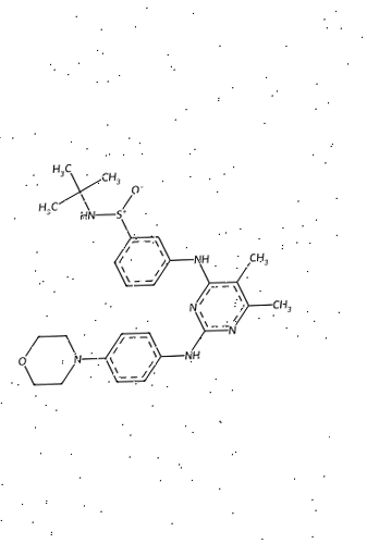 Cc1nc(Nc2ccc(N3CCOCC3)cc2)nc(Nc2cccc([S+]([O-])NC(C)(C)C)c2)c1C